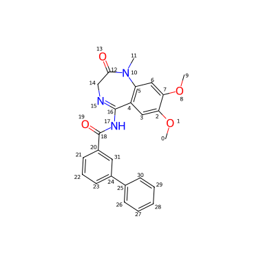 COc1cc2c(cc1OC)N(C)C(=O)CN=C2NC(=O)c1cccc(-c2ccccc2)c1